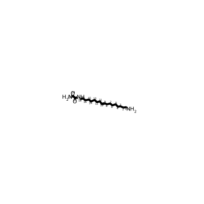 NCCCCCCCCC=CCCCCCCCCNC(=O)C(N)=O